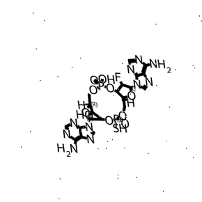 Nc1ncnc2c1ncn2[C@@H]1O[C@@H]2CO[P@@](=O)(S)OC3C(O)[C@@H](COP(=O)(O)OC2C1F)O[C@H]3n1cnc2c(N)ncnc21